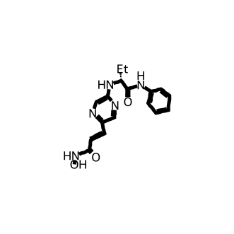 CC[C@@H](Nc1cnc(/C=C/C(=O)NO)cn1)C(=O)Nc1ccccc1